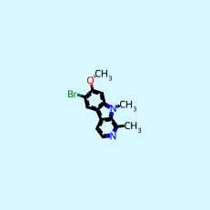 COc1cc2c(cc1Br)c1ccnc(C)c1n2C